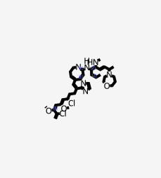 C=C(Cl)/C(=C\C(=CC(Cl)CCc1cc2/c(n3ccnc13)=C\C(NC(/C=C\C)=C(/C=CC(C)N1CCCOCC1)NC)=N/CCC=2)OC)OC